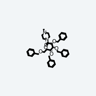 CN1CCN(C(=O)[C@H](OCc2ccccc2)[C@@H](OCc2ccccc2)[C@H](OCc2ccccc2)C(=O)COCc2ccccc2)CC1